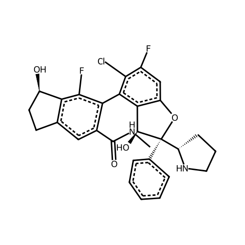 CNC(=O)c1cc2c(c(F)c1-c1c(Cl)c(F)cc3c1[C@H](O)[C@](c1ccccc1)([C@@H]1CCCN1)O3)[C@H](O)CC2